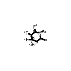 CC1C[C@](F)(C(C)C)C(F)C(F)N1C